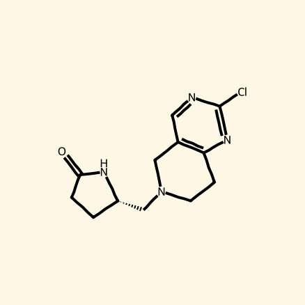 O=C1CC[C@@H](CN2CCc3nc(Cl)ncc3C2)N1